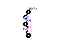 CC(=O)Nc1ccc(-c2ccnc(Nc3cccc(C(=O)NCCc4ccccc4Cl)c3)n2)cc1